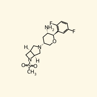 CS(=O)(=O)N1C[C@H]2CN([C@H]3CO[C@H](c4cc(F)ccc4F)[C@@H](N)C3)C[C@H]21